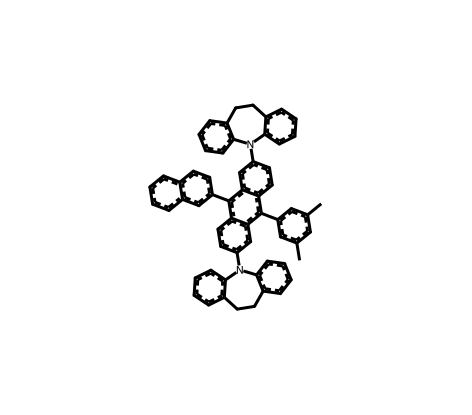 Cc1cc(C)cc(-c2c3ccc(N4c5ccccc5CCc5ccccc54)cc3c(-c3ccc4ccccc4c3)c3ccc(N4c5ccccc5CCc5ccccc54)cc23)c1